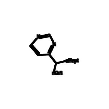 CCCCCCCCC(CCCCCCC)c1ccncn1